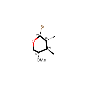 CO[C@@H]1CO[C@H](Br)[C@H](C)[C@H]1C